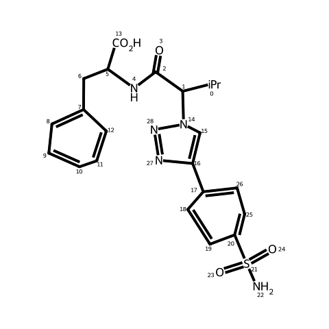 CC(C)C(C(=O)NC(Cc1ccccc1)C(=O)O)n1cc(-c2ccc(S(N)(=O)=O)cc2)nn1